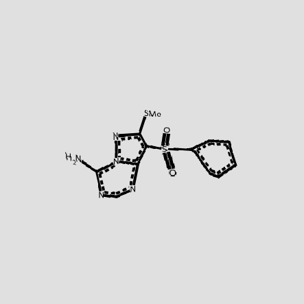 CSc1nn2c(N)ncnc2c1S(=O)(=O)c1ccccc1